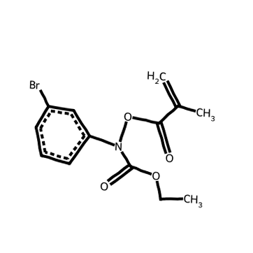 C=C(C)C(=O)ON(C(=O)OCC)c1cccc(Br)c1